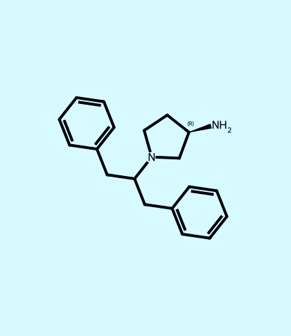 N[C@@H]1CCN(C(Cc2ccccc2)Cc2ccccc2)C1